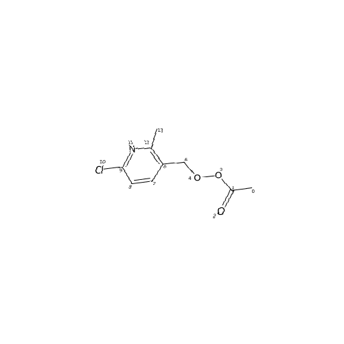 CC(=O)OOCc1ccc(Cl)nc1C